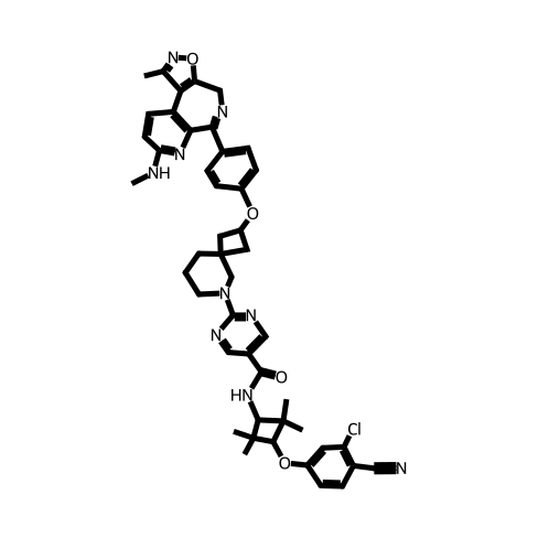 CNc1ccc2c(n1)C(c1ccc(OC3CC4(CCCN(c5ncc(C(=O)NC6C(C)(C)C(Oc7ccc(C#N)c(Cl)c7)C6(C)C)cn5)C4)C3)cc1)=NCc1onc(C)c1-2